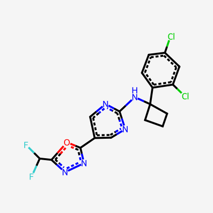 FC(F)c1nnc(-c2cnc(NC3(c4ccc(Cl)cc4Cl)CCC3)nc2)o1